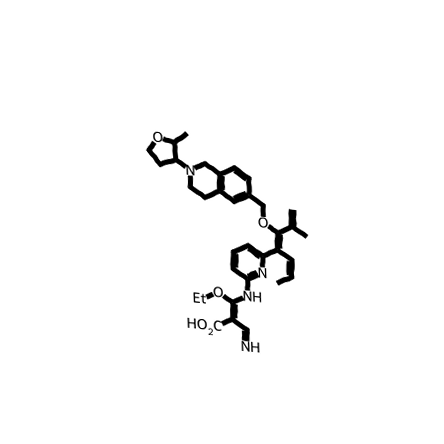 C=C(C)/C(OCc1ccc2c(c1)CCN(C1CCOC1C)C2)=C(\C=C/C)c1cccc(N/C(OCC)=C(\C=N)C(=O)O)n1